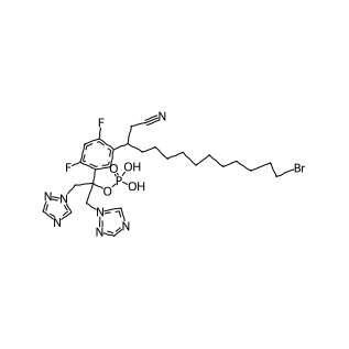 N#CCC(CCCCCCCCCCCBr)c1cc(C(Cn2cncn2)(Cn2cncn2)OP(=O)(O)O)c(F)cc1F